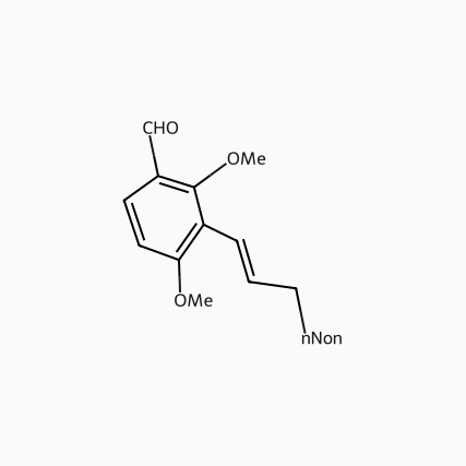 CCCCCCCCCC/C=C/c1c(OC)ccc(C=O)c1OC